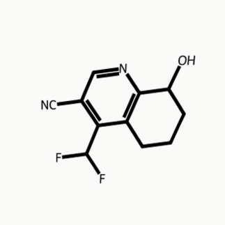 N#Cc1cnc2c(c1C(F)F)CCCC2O